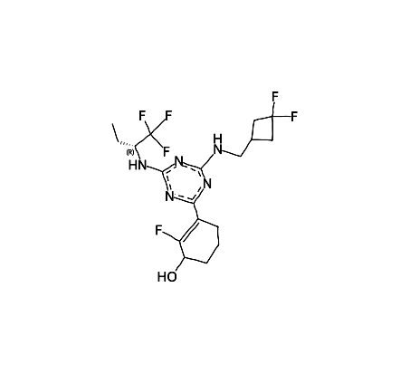 CC[C@@H](Nc1nc(NCC2CC(F)(F)C2)nc(C2=C(F)C(O)CCC2)n1)C(F)(F)F